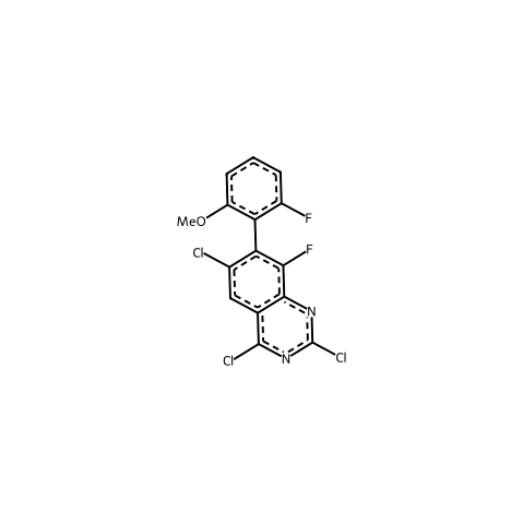 COc1cccc(F)c1-c1c(Cl)cc2c(Cl)nc(Cl)nc2c1F